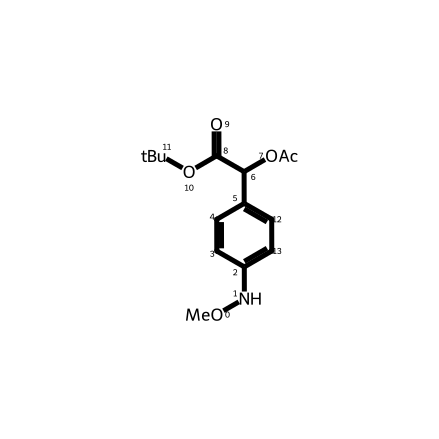 CONc1ccc(C(OC(C)=O)C(=O)OC(C)(C)C)cc1